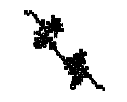 CC1O[C@@H](OC2C(NC(=O)c3cc(=O)[nH]c(=O)[nH]3)CC(C(=O)NCCOCCOCCN)C[C@H]2O[C@@H]2OC(CO)[C@H](O)C(O[C@@H](CC3CCCCC3)C(=O)O)C2NC(=O)CNC(=O)COCCOCCOCCOCC(=O)NCC(=O)NC2C(O[C@@H](CC3CCCCC3)C(=O)O)[C@@H](O)C(CO)O[C@H]2O[C@@H]2CC(C(=O)NCCOCCOCCN)CC(NC(=O)c3cc(=O)[nH]c(=O)[nH]3)C2O[C@@H]2OC(C)[C@@H](O)[C@H](O)C2O)C(O)C(O)[C@@H]1O